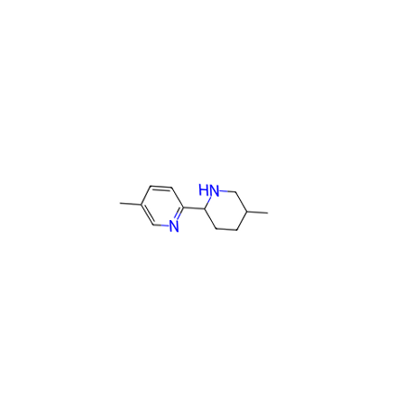 Cc1ccc(C2CCC(C)CN2)nc1